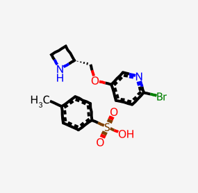 Brc1ccc(OC[C@H]2CCN2)cn1.Cc1ccc(S(=O)(=O)O)cc1